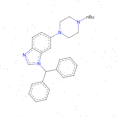 CCCCN1CCN(c2ccc3ncn(C(c4ccccc4)c4ccccc4)c3c2)CC1